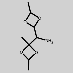 CC1OC(C(N)C2(C)OC(C)O2)O1